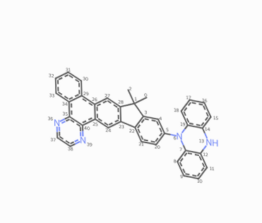 CC1(C)c2cc(N3c4ccccc4Nc4ccccc43)ccc2-c2cc3c(cc21)c1ccccc1c1nccnc31